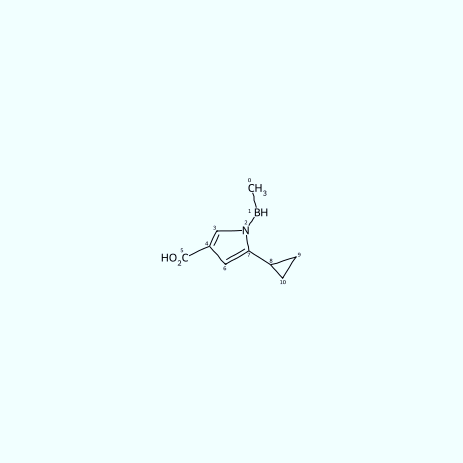 CBn1cc(C(=O)O)cc1C1CC1